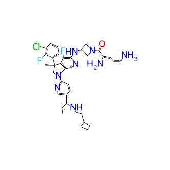 CCC(NCCC1CCC1)c1ccc(N2C[C@](C)(c3cccc(Cl)c3F)c3c2cnc(NC2CN(C(=O)/C(N)=C/C=C\N)C2)c3F)nc1